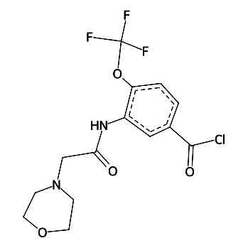 O=C(CN1CCOCC1)Nc1cc(C(=O)Cl)ccc1OC(F)(F)F